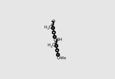 COc1ccc(C2CC=C(c3ccc(OCC(O)Oc4ccc(C5CC=C(c6ccc(OCC7CO7)c(C)c6)CC5)cc4)c(C)c3)CC2)cc1